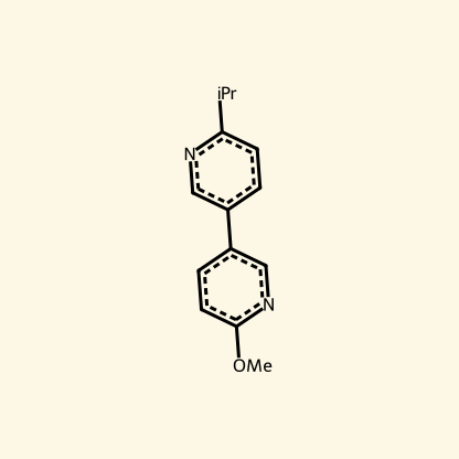 COc1ccc(-c2ccc(C(C)C)nc2)cn1